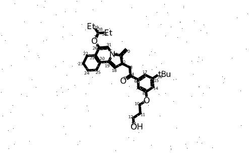 C=C1C(CC(=O)c2cc(OCCCO)cc(C(C)(C)C)c2)C=C2C3=C(CCCC3)C(OC(CC)CC)=CN12